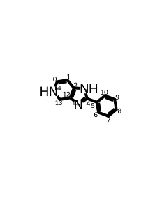 C1=Cc2[nH]c(-c3ccccc3)nc2CN1